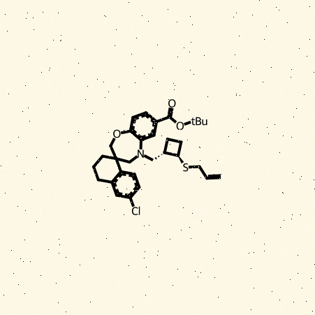 C=CCS[C@@H]1CC[C@H]1CN1CC2(CCCc3cc(Cl)ccc32)COc2ccc(C(=O)OC(C)(C)C)cc21